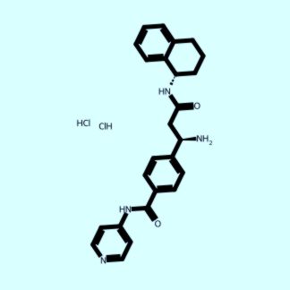 Cl.Cl.N[C@H](CC(=O)N[C@H]1CCCc2ccccc21)c1ccc(C(=O)Nc2ccncc2)cc1